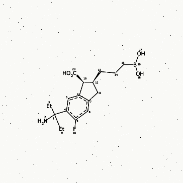 CCC(N)(CC)c1cc2c(cc1F)C[C@H](CCCB(O)O)[C@@H]2C(=O)O